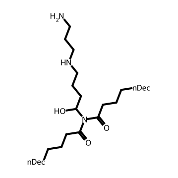 CCCCCCCCCCCCCC(=O)N(C(=O)CCCCCCCCCCCCC)C(O)CCCNCCCN